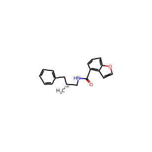 C[C@@H](CNC(=O)c1cccc2occc12)Cc1ccccc1